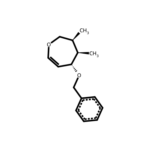 C[C@@H]1[C@H](C)COC=C[C@H]1OCc1ccccc1